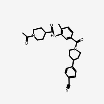 CC(=O)N1CCC(C(=O)Nc2cc(C(=O)N3CCC(c4ccc(C#N)cc4)CC3)ccc2C)CC1